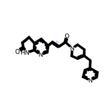 O=C1CCc2cc(/C=C/C(=O)N3CC=C(Cc4ccncc4)CC3)cnc2N1